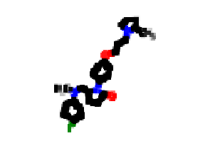 CC1CCCN1CCCOc1ccc(N2C(=O)CCC2CN(C)c2ccc(F)cc2)cc1